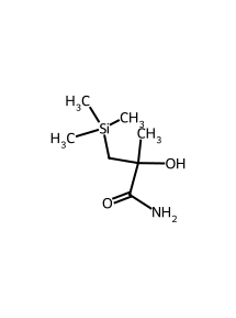 CC(O)(C[Si](C)(C)C)C(N)=O